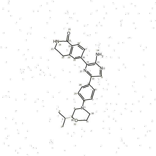 CC(C)[C@@H]1CN(c2ccc(-c3cnc(N)c(-c4ccc5c(c4)CCNC5=O)n3)cc2)CCO1